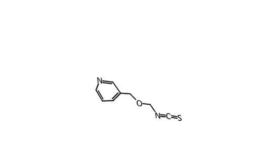 S=C=NCOCc1cccnc1